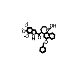 COc1cc2cc(C(=O)C3CCCN(CO)c4c3cc(OCc3ccccc3)c3ccccc43)[nH]c2c(OC)c1OC